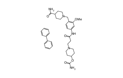 COc1cc(NC(=O)CCN2CCC(OC(N)=O)CC2)ccc1CN1CCC(C(N)=O)CC1.c1ccc(-c2ccccc2)cc1